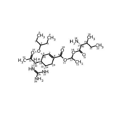 CCC(CC)O[C@@H]1C=C(C(=O)OC(C)OC(=O)[C@H](N)C(C)CC)C[C@H](NC(=N)N)[C@H]1NC(C)=O